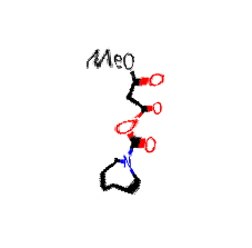 COC(=O)CC(=O)OC(=O)N1CCCCC1